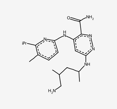 Cc1ccc(Nc2cc(NC(C)CC(C)CN)nnc2C(N)=O)nc1C(C)C